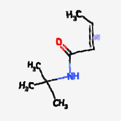 C/C=C\C(=O)NC(C)(C)C